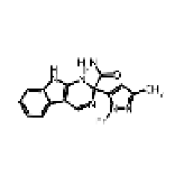 CCn1nc(C)cc1C1(C(N)=O)N=Cc2c([nH]c3ccccc23)N1